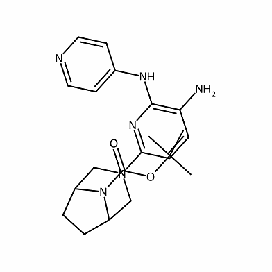 CC(C)(C)OC(=O)N1C2CCC1CN(c1ccc(N)c(Nc3ccncc3)n1)C2